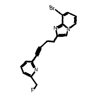 FCc1cccc(C#CCCc2cn3cccc(Br)c3n2)n1